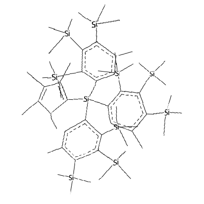 CC1=C(C)C(C)C([Si](c2cc(C)c([Si](C)(C)C)c([Si](C)(C)C)c2[Si](C)(C)C)(c2cc(C)c([Si](C)(C)C)c([Si](C)(C)C)c2[Si](C)(C)C)c2cc(C)c([Si](C)(C)C)c([Si](C)(C)C)c2[Si](C)(C)C)=C1C